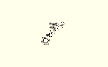 COCC(O)CN(CCOCc1ccccc1)C1CCC1